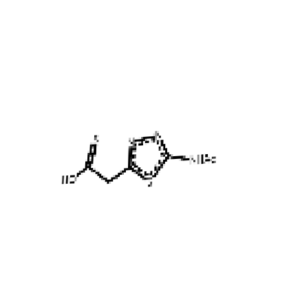 CC(=O)Nc1nnc(CC(O)=S)s1